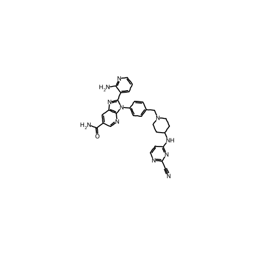 N#Cc1nccc(NC2CCN(Cc3ccc(-n4c(-c5cccnc5N)nc5cc(C(N)=O)cnc54)cc3)CC2)n1